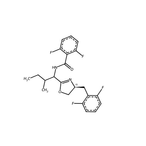 CCC(C)C(NC(=O)c1c(F)cccc1F)C1=N[C@@H](Cc2c(F)cccc2F)CO1